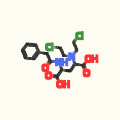 O=C(Cc1ccccc1)N[C@@H](CC(C(=O)O)N(CCCl)CCCl)C(=O)O